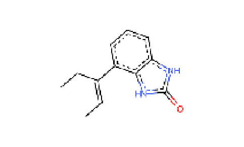 CC=C(CC)c1cccc2[nH]c(=O)[nH]c12